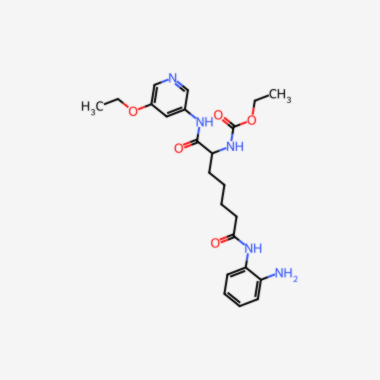 CCOC(=O)NC(CCCCC(=O)Nc1ccccc1N)C(=O)Nc1cncc(OCC)c1